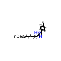 CCCCCCCCCCCCCCCCCc1ncc(-c2ccc(C)cc2)[nH]1